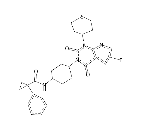 O=C(NC1CCC(n2c(=O)c3cc(F)cnc3n(C3CCSCC3)c2=O)CC1)C1(c2ccccc2)CC1